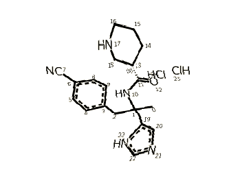 CC(Cc1ccc(C#N)cc1)(NC(=O)[C@H]1CCCNC1)c1cnc[nH]1.Cl.Cl